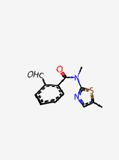 Cc1cnc(N(C)C(=O)c2ccccc2C=O)s1